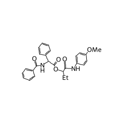 CCC(OC(=O)C(NC(=O)c1ccccc1)c1ccccc1)C(=O)Nc1ccc(OC)cc1